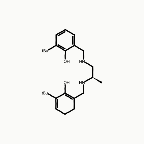 C[C@H](CNCc1cccc(C(C)(C)C)c1O)NCC1=C(O)C(C(C)(C)C)=CCC1